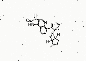 CN1CC[C@@H]2[C@H]1CN2c1ncccc1-c1cccc2c1ncc1[nH]c(=O)[nH]c12